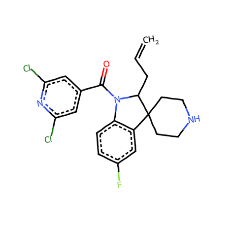 C=CCC1N(C(=O)c2cc(Cl)nc(Cl)c2)c2ccc(F)cc2C12CCNCC2